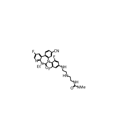 CCN1C(=O)N(c2c(F)cc(NCCNCCNC(=O)NC)cc2F)c2cc(C#N)ccc2-c2cc(F)cnc21